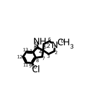 CN1CCC2(CC1)Cc1c(Cl)cccc1[C@H]2N